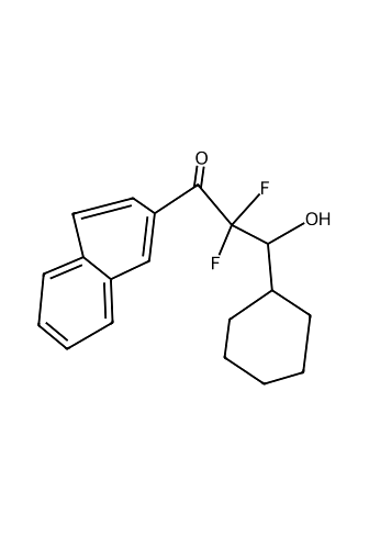 O=C(c1ccc2ccccc2c1)C(F)(F)C(O)C1CCCCC1